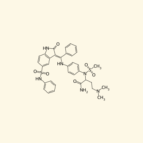 CN(C)CCC(C(N)=O)N(c1ccc(NC(=C2C(=O)Nc3ccc(S(=O)(=O)Nc4ccccc4)cc32)c2ccccc2)cc1)S(C)(=O)=O